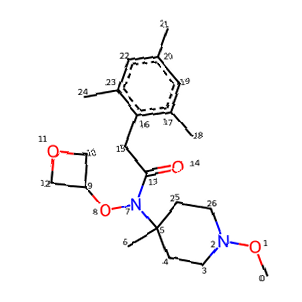 CON1CCC(C)(N(OC2COC2)C(=O)Cc2c(C)cc(C)cc2C)CC1